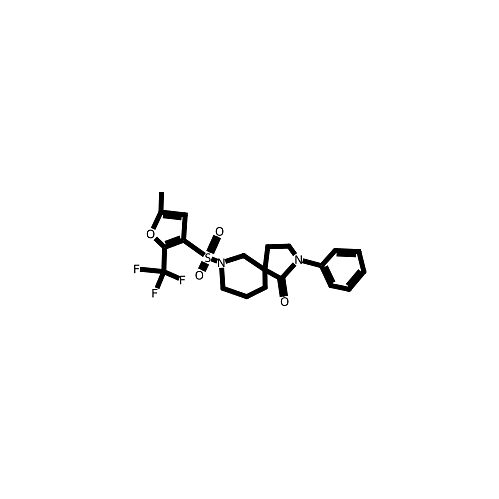 Cc1cc(S(=O)(=O)N2CCCC3(CCN(c4ccccc4)C3=O)C2)c(C(F)(F)F)o1